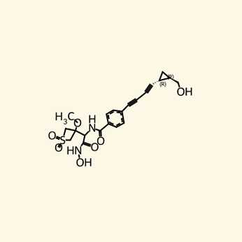 COC1(C(NC(=O)c2ccc(C#CC#C[C@@H]3C[C@H]3CO)cc2)C(=O)NO)CS(=O)(=O)C1